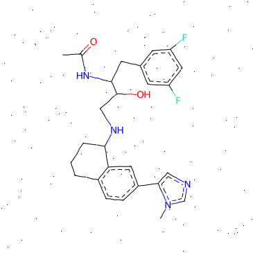 CC(=O)NC(Cc1cc(F)cc(F)c1)C(O)CNC1CCCc2ccc(-c3cncn3C)cc21